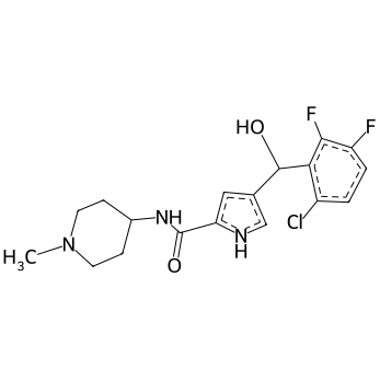 CN1CCC(NC(=O)c2cc(C(O)c3c(Cl)ccc(F)c3F)c[nH]2)CC1